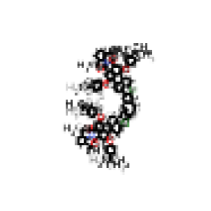 CC(C)c1cccc(C(C)C)c1N1C(=O)c2cc(Oc3ccc(C(C)(C)C)cc3)c3c4cccc5c(C6=C/C7=C\c8cc(-c9ccc%10c%11c(Oc%12ccc(C(C)(C)C)cc%12)cc%12c%13c(cc(Oc%14ccc(C(C)(C)C)cc%14)c(c%14cccc9c%14%10)c%13%11)C(=O)N(c9c(C(C)C)cccc9C(C)C)C%12=O)c(Cl)cc8/C=C\C(C=C6Cl)C7)ccc(c6c(Oc7ccc(C(C)(C)C)cc7)cc(c2c36)C1=O)c54